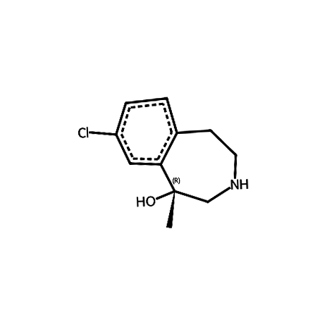 C[C@]1(O)CNCCc2ccc(Cl)cc21